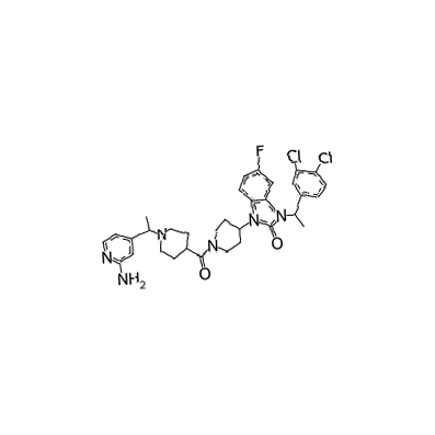 CC(c1ccnc(N)c1)N1CCC(C(=O)N2CCC(n3c(=O)n(C(C)c4ccc(Cl)c(Cl)c4)c4cc(F)ccc43)CC2)CC1